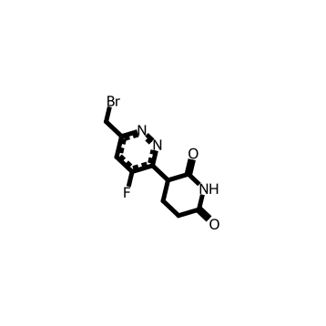 O=C1CCC(c2nnc(CBr)cc2F)C(=O)N1